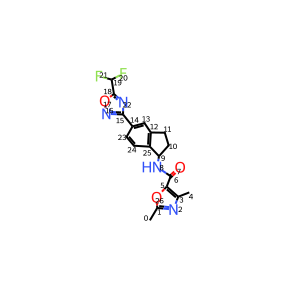 Cc1nc(C)c(C(=O)NC2CCc3cc(-c4noc(C(F)F)n4)ccc32)o1